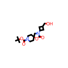 CC(C)(C)OC(=O)N1CCC2(CC1)CN(C1CC(CO)C1)C(=O)O2